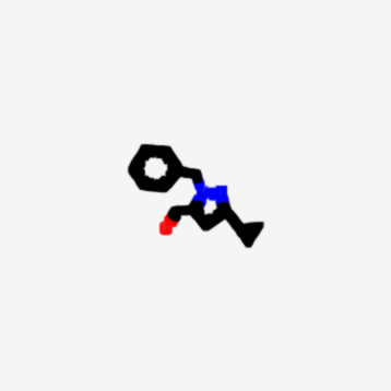 O=Cc1cc(C2CC2)nn1Cc1ccccc1